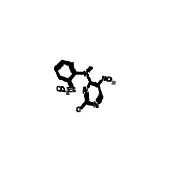 CCOC(=O)c1ccccc1N(C)c1nc(Cl)ncc1[N+](=O)[O-]